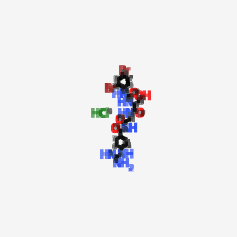 Cl.N=C(N)Nc1ccc(C(=O)NC(=O)CNC(=O)[C@H](CO)NC(=O)Nc2ccc(Br)cc2Br)cc1